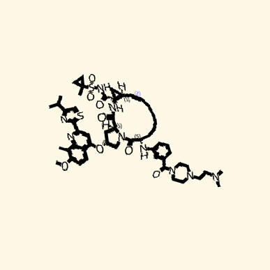 COc1ccc2c(O[C@@H]3C[C@H]4C(=O)N[C@]5(C(=O)NS(=O)(=O)C6(C)CC6)C[C@H]5/C=C\CCCCC[C@H](Nc5cccc(C(=O)N6CCN(CCN(C)C)CC6)c5)C(=O)N4C3)cc(-c3nc(C(C)C)cs3)nc2c1C